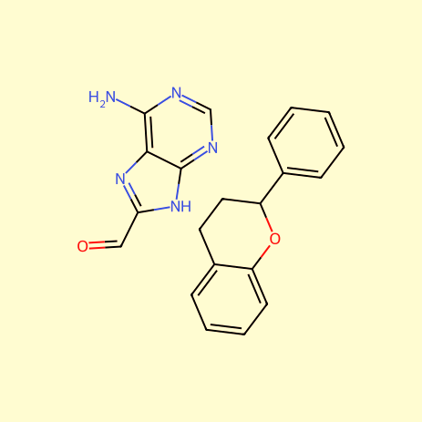 Nc1ncnc2[nH]c(C=O)nc12.c1ccc(C2CCc3ccccc3O2)cc1